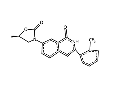 C[C@@H]1CN(c2ccc3cc(-c4ccccc4C(F)(F)F)[nH]c(=O)c3c2)C(=O)O1